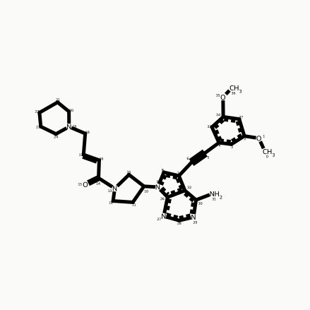 COc1cc(C#Cc2cn(C3CCN(C(=O)C=CCN4CCCCC4)C3)c3ncnc(N)c23)cc(OC)c1